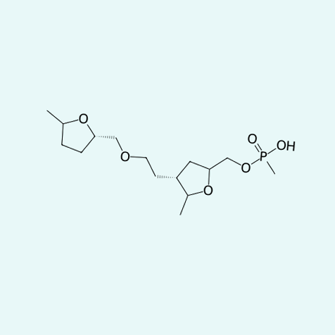 CC1CC[C@@H](COCC[C@@H]2CC(COP(C)(=O)O)OC2C)O1